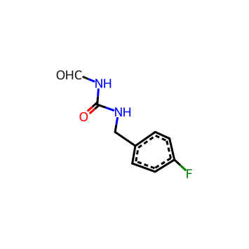 O=CNC(=O)NCc1ccc(F)cc1